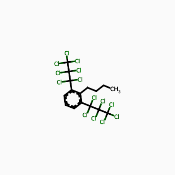 CCC[CH]c1c(C(Cl)(Cl)C(Cl)(Cl)C(Cl)(Cl)Cl)cccc1C(Cl)(Cl)C(Cl)(Cl)C(Cl)(Cl)Cl